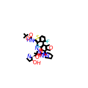 CN1CC[C@H](O)[C@H]1COc1nc(N2C3CCC2CN(C(=O)OC(C)(C)C)C3)c2c3c(c(-c4c(F)ccc5sc(NC(=O)OC(C)(C)C)c(C#N)c45)c(F)c2n1)COC3